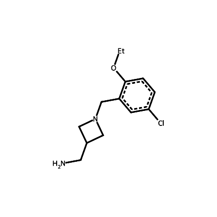 CCOc1ccc(Cl)cc1CN1CC(CN)C1